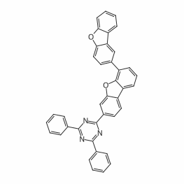 c1ccc(-c2nc(-c3ccccc3)nc(-c3ccc4c(c3)oc3c(-c5ccc6oc7ccccc7c6c5)cccc34)n2)cc1